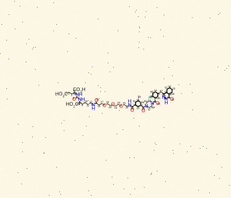 O=C(O)CC[C@H](NC(=O)N[C@@H](CCCCNC(=O)CCOCCOCCOCCNC(=O)c1cc(I)cc(C(=O)N2CCN(C(=O)c3cc(Cc4n[nH]c(=O)c5ccccc45)ccc3F)CC2)c1)C(=O)O)C(=O)O